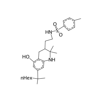 CCCCCCC(C)(C)c1cc(O)c2c(c1)NC(C)(C)C(CCNS(=O)(=O)c1ccc(C)cc1)C2